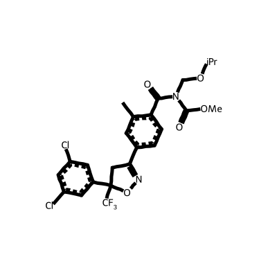 COC(=O)N(COC(C)C)C(=O)c1ccc(C2=NOC(c3cc(Cl)cc(Cl)c3)(C(F)(F)F)C2)cc1C